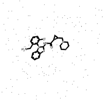 NCc1cccc(Cl)c1N1c2ccccc2SC1NC(=O)C1CC1CN1CCCCC1